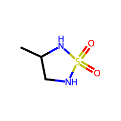 CC1CNS(=O)(=O)N1